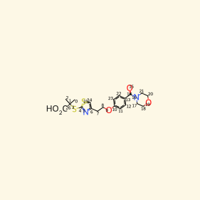 CC(C)(Sc1nc(CCOc2ccc(C(=O)N3CCOCC3)cc2)cs1)C(=O)O